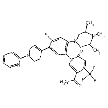 C[C@@H]1CN(c2cc(F)c(C3=CCN(c4ccccn4)CC3)cc2-n2cc(C(N)=O)c(C(F)(F)F)cc2=O)C[C@H](C)N1C